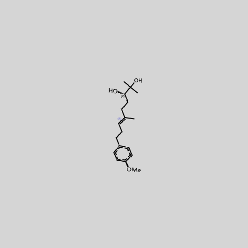 COc1ccc(CC/C=C(\C)CC[C@@H](O)C(C)(C)O)cc1